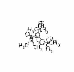 CCC[Si](CCC)=[Zr+2]([C]1=CC=CC1)[c]1cc(C(C)(C)C)cc2c1Cc1ccc(C(C)(C)C)cc1-2.[Cl-].[Cl-]